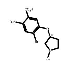 CC(=O)N1CC[C@H](Oc2cc(C(=O)O)c([N+](=O)[O-])cc2Br)C1